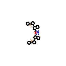 c1ccc2c(c1)sc1c(-c3ccc(-c4nnc(-c5ccc(-c6cccc7c6sc6ccccc67)c6ccccc56)o4)c4ccccc34)cccc12